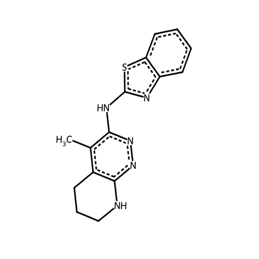 Cc1c(Nc2nc3ccccc3s2)nnc2c1CCCN2